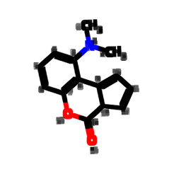 CN(C)c1cccc2c1C1=CC=CC1C(=O)O2